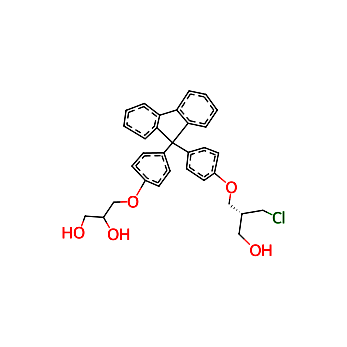 OCC(O)COc1ccc(C2(c3ccc(OC[C@@H](CO)CCl)cc3)c3ccccc3-c3ccccc32)cc1